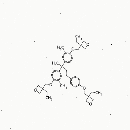 CCC1(COc2ccc(CCC(C)(c3ccc(OCC4(CC)COC4)c(C)c3)c3ccc(OCC4(CC)COC4)c(C)c3)cc2)COC1